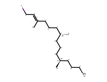 C/C(=C\CI)CCC[C@H](C)CCC[C@H](C)CCCC(C)C